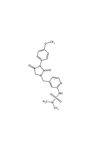 CN(C)S(=O)(=O)Nc1cc(CN2CC(=O)N(c3ccc(OC(F)(F)F)cc3)C2=O)ccn1